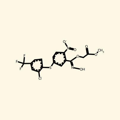 COC(=O)COC(=NO)c1cc(Sc2ccc(C(F)(F)F)cc2Cl)ccc1[N+](=O)[O-]